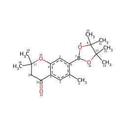 Cc1cc2c(cc1B1OC(C)(C)C(C)(C)O1)OC(C)(C)CC2=O